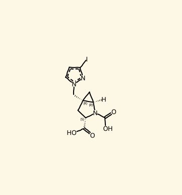 O=C(O)[C@@H]1C[C@@]2(Cn3ccc(I)n3)C[C@H]2N1C(=O)O